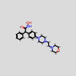 O=C(NO)C(c1ccccc1)c1ccc(N2CCN(CCN3CCOCC3)CC2)cc1